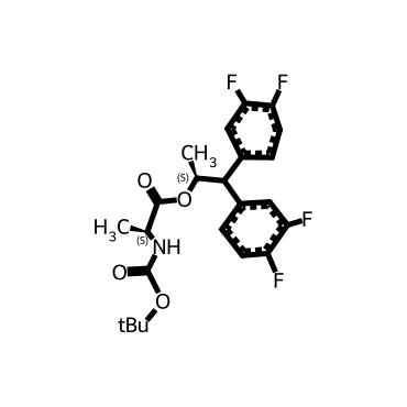 C[C@H](NC(=O)OC(C)(C)C)C(=O)O[C@@H](C)C(c1ccc(F)c(F)c1)c1ccc(F)c(F)c1